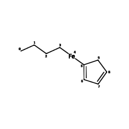 CCC[CH2][Fe][C]1=CC=CC1